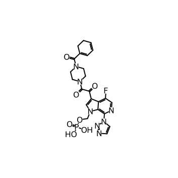 O=C(C(=O)N1CCN(C(=O)C2=CC=CCC2)CC1)c1cn(COP(=O)(O)O)c2c(-n3ccnn3)ncc(F)c12